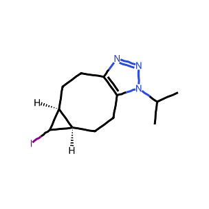 CC(C)n1nnc2c1CC[C@H]1C(I)[C@H]1CC2